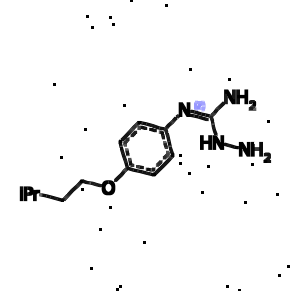 CC(C)CCOc1ccc(/N=C(/N)NN)cc1